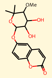 COC1C(O)C(O)C(Oc2ccc3oc(=O)ccc3c2)OC1(C)C